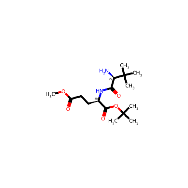 COC(=O)CC[C@@H](NC(=O)[C@@H](N)C(C)(C)C)C(=O)OC(C)(C)C